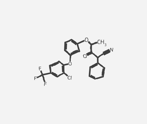 CC(Oc1cccc(Oc2ccc(C(F)(F)F)cc2Cl)c1)C(=O)C(C#N)c1ccccc1